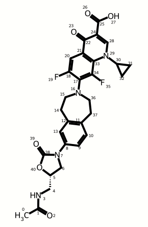 CC(=O)NC[C@H]1CN(c2ccc3c(c2)CCN(c2c(F)cc4c(=O)c(C(=O)O)cn(C5CC5)c4c2F)CC3)C(=O)O1